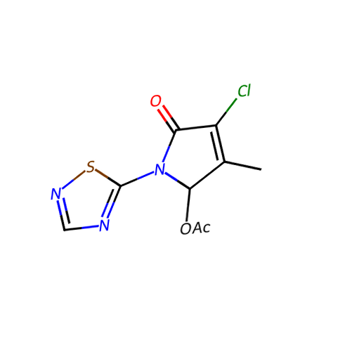 CC(=O)OC1C(C)=C(Cl)C(=O)N1c1ncns1